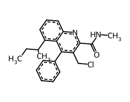 CCC(C)c1cccc2nc(C(=O)NC)c(CCl)c(-c3ccccc3)c12